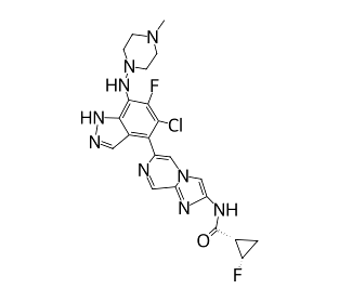 CN1CCN(Nc2c(F)c(Cl)c(-c3cn4cc(NC(=O)[C@@H]5C[C@@H]5F)nc4cn3)c3cn[nH]c23)CC1